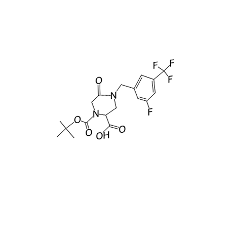 CC(C)(C)OC(=O)N1CC(=O)N(Cc2cc(F)cc(C(F)(F)F)c2)CC1C(=O)O